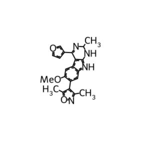 COc1cc2c3c([nH]c2cc1-c1c(C)noc1C)NC(C)N=C3c1ccoc1